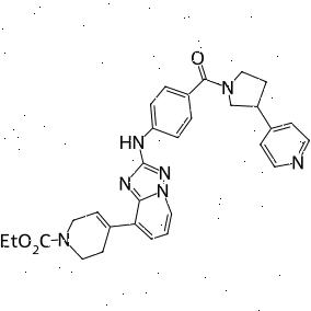 CCOC(=O)N1CC=C(c2cccn3nc(Nc4ccc(C(=O)N5CCC(c6ccncc6)C5)cc4)nc23)CC1